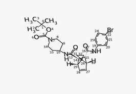 CC(C)(C)OC(=O)N1CCC(NC(=O)[C@H]2[C@H](C(=O)Nc3ccc(Br)cc3)[C@@H]3C=C[C@H]2C32CC2)CC1